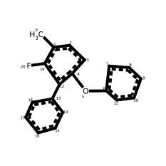 Cc1ccc(Oc2ccccc2)c(-c2ccccc2)c1F